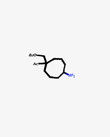 CC(=O)C1(COCC(C)C)CCCC(N)CCC1